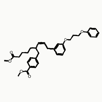 COC(=O)CCCCC(/C=C\Cc1cccc(OCCCOc2ccccc2)c1)Cc1ccc(C(=O)OC)cc1